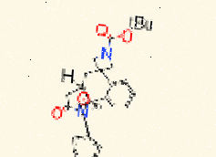 CC(C)(C)OC(=O)N1CC2(C[C@@H]3CC(=O)N4[C@@H](c5ccccc5)CO[C@@]34c3ccccc32)C1